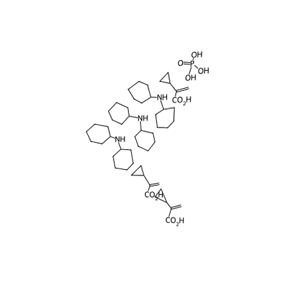 C1CCC(NC2CCCCC2)CC1.C1CCC(NC2CCCCC2)CC1.C1CCC(NC2CCCCC2)CC1.C=C(C(=O)O)C1CC1.C=C(C(=O)O)C1CC1.C=C(C(=O)O)C1CC1.O=P(O)(O)O